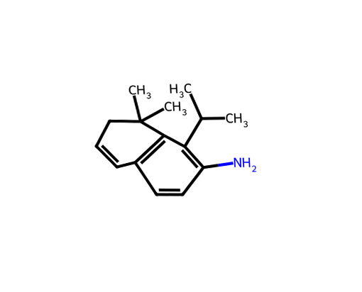 CC(C)c1c(N)ccc2c1C(C)(C)CC=C2